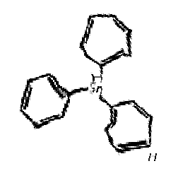 I.c1cc[c]([SnH]([c]2ccccc2)[c]2ccccc2)cc1